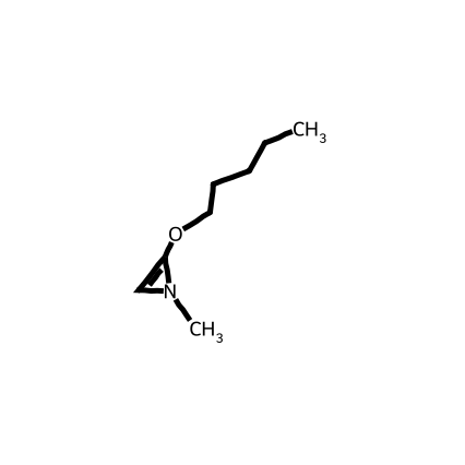 CCCCCOC1=CN1C